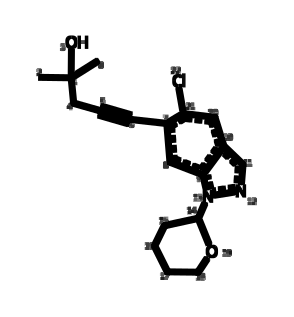 CC(C)(O)CC#Cc1cc2c(cnn2C2CCCCO2)cc1Cl